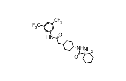 NC1(C(=O)N[C@H]2CC[C@H](CC(=O)Nc3cc(C(F)(F)F)cc(C(F)(F)F)c3)CC2)CCCCC1